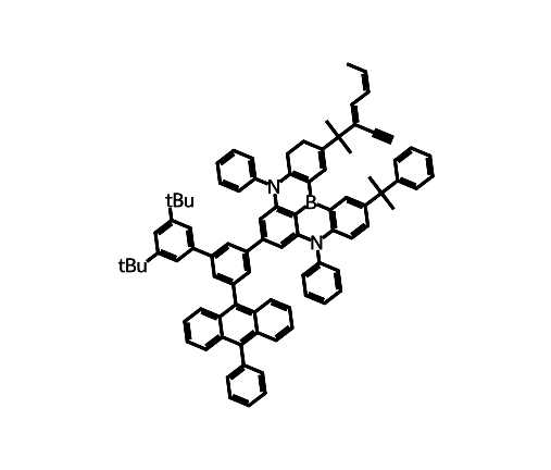 C#C/C(=C\C=C/C)C(C)(C)C1=CC2=C(CC1)N(c1ccccc1)c1cc(-c3cc(-c4cc(C(C)(C)C)cc(C(C)(C)C)c4)cc(-c4c5ccccc5c(-c5ccccc5)c5ccccc45)c3)cc3c1B2c1cc(C(C)(C)c2ccccc2)ccc1N3c1ccccc1